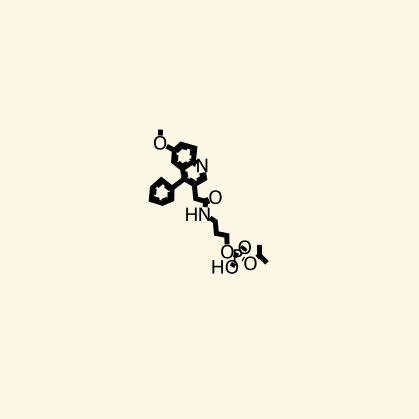 COc1ccc2ncc(CC(=O)NCCCOP(=O)(O)OC(C)C)c(-c3ccccc3)c2c1